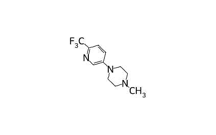 CN1CCN(c2ccc(C(F)(F)F)nc2)CC1